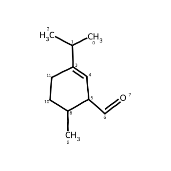 CC(C)C1=CC(C=O)C(C)CC1